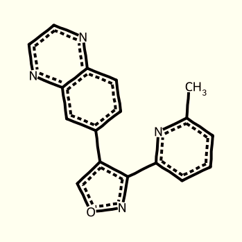 Cc1cccc(-c2nocc2-c2ccc3nccnc3c2)n1